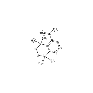 [CH]=C(C)c1cccc2c1C(C)(C)CCC2(C)C